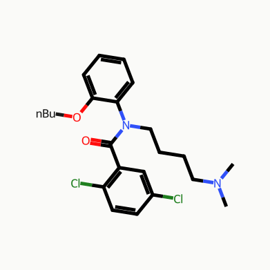 CCCCOc1ccccc1N(CCCCN(C)C)C(=O)c1cc(Cl)ccc1Cl